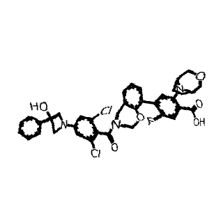 O=C(O)c1cc(F)c(-c2cccc3c2OCN(C(=O)c2c(Cl)cc(N4CC(O)(c5ccccc5)C4)cc2Cl)C3)cc1N1C2CCC1COC2